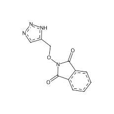 O=C1c2ccccc2C(=O)N1OCc1cnn[nH]1